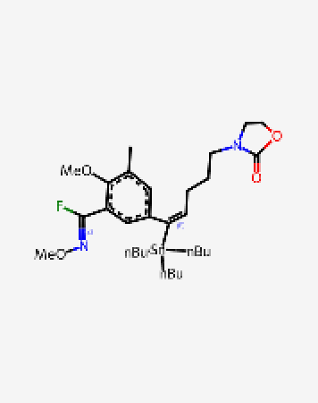 CCC[CH2][Sn]([CH2]CCC)([CH2]CCC)/[C](=C/CCCN1CCOC1=O)c1cc(C)c(OC)c(/C(F)=N/OC)c1